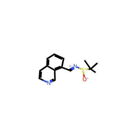 CC(C)(C)[S+]([O-])/N=C/c1cccc2ccncc12